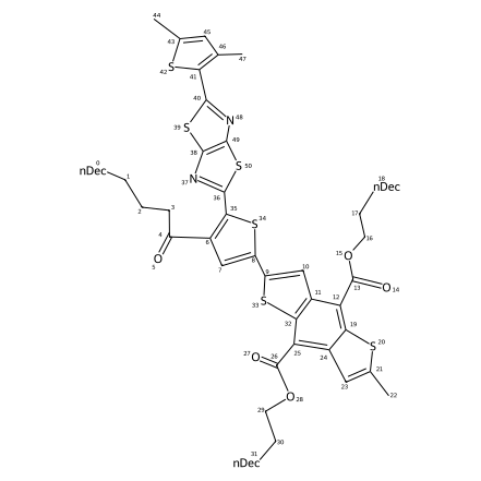 CCCCCCCCCCCCCC(=O)c1cc(-c2cc3c(C(=O)OCCCCCCCCCCCC)c4sc(C)cc4c(C(=O)OCCCCCCCCCCCC)c3s2)sc1-c1nc2sc(-c3sc(C)cc3C)nc2s1